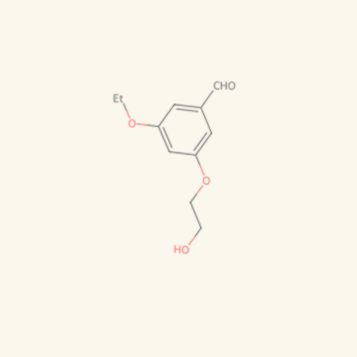 CCOc1cc(C=O)cc(OCCO)c1